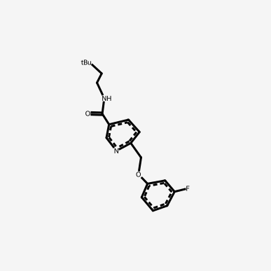 CC(C)(C)CCNC(=O)c1ccc(COc2cccc(F)c2)nc1